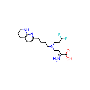 N[C@@H](CCN(CCCCc1ccc2c(n1)NCCC2)CCC(F)F)C(=O)O